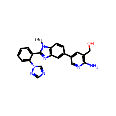 CC(C)(C)n1c(-c2ccccc2-n2cncn2)nc2cc(-c3cnc(N)c(CO)c3)ccc21